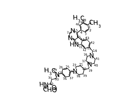 Cc1ccc(-c2ncnc3[nH]c4cc(CN5CCN(CC6CCN(c7ccc(N(C)CCC(=O)NC=O)cc7)CC6)CC5)ccc4c23)cc1C